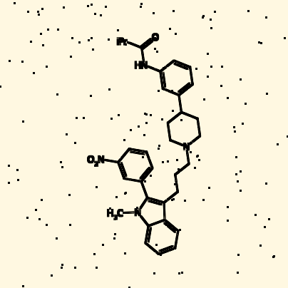 CC(C)C(=O)Nc1cccc(C2CCN(CCCc3c(-c4cccc([N+](=O)[O-])c4)n(C)c4ccccc34)CC2)c1